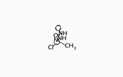 CCCc1cc(Cl)cnc1NC(=O)Nc1ccccc1